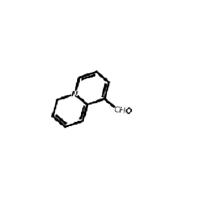 O=CC1=CC=CN2CC=CC=C12